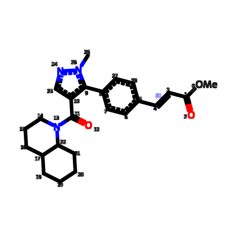 COC(=O)/C=C/c1ccc(-c2c(C(=O)N3CCCC4CCCCC43)cnn2C)cc1